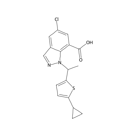 CC(c1ccc(C2CC2)s1)n1ncc2cc(Cl)cc(C(=O)O)c21